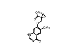 COC(=O)C1(COc2cc3[nH]cnc(=O)c3cc2OC)CC1